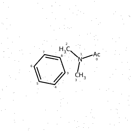 CC(=O)N(C)C.c1ccccc1